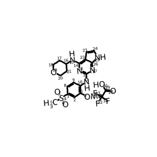 COc1cc(S(C)(=O)=O)ccc1Nc1nc(NC2CCOCC2)c2cc[nH]c2n1.O=C(O)C(F)(F)F